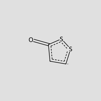 O=c1c[c]ss1